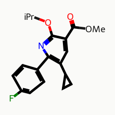 COC(=O)c1cc(C2CC2)c(-c2ccc(F)cc2)nc1OC(C)C